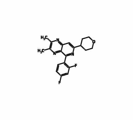 Cc1nc2cc(C3CCOCC3)nc(-c3ccc(F)cc3F)c2nc1C